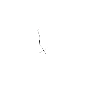 CC(C)(C)CCC[O-].[Li+]